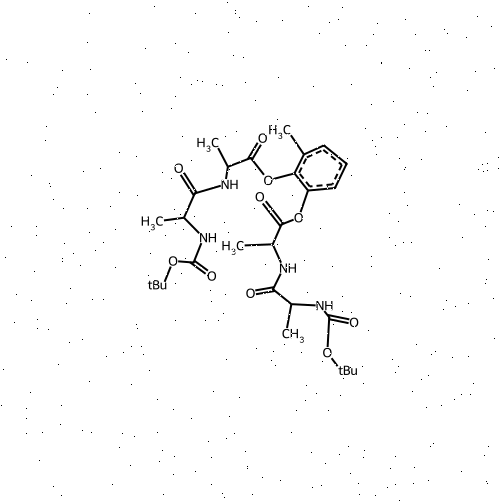 Cc1cccc(OC(=O)C(C)NC(=O)C(C)NC(=O)OC(C)(C)C)c1OC(=O)C(C)NC(=O)C(C)NC(=O)OC(C)(C)C